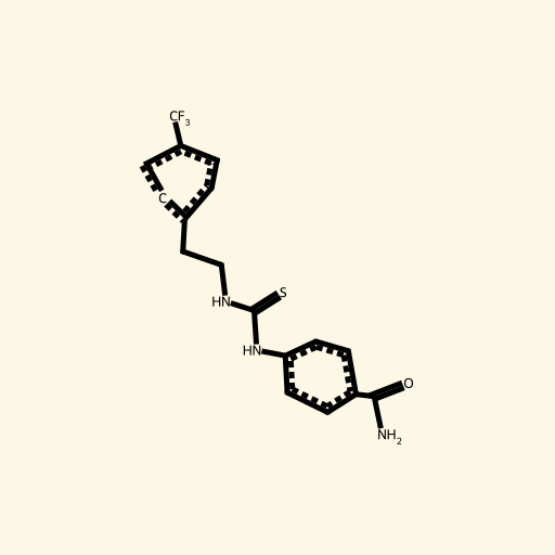 NC(=O)c1ccc(NC(=S)NCCc2ccc(C(F)(F)F)cc2)cc1